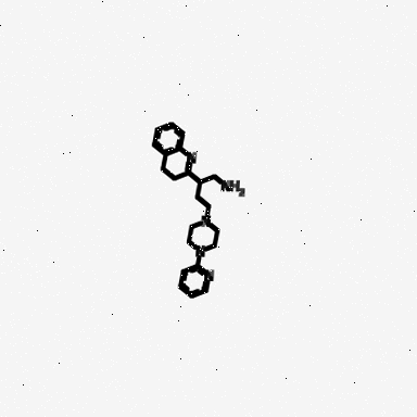 NCC(CCN1CCN(c2ccccn2)CC1)C1=Nc2ccccc2CC1